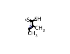 C/C=C(\C)C(=S)S